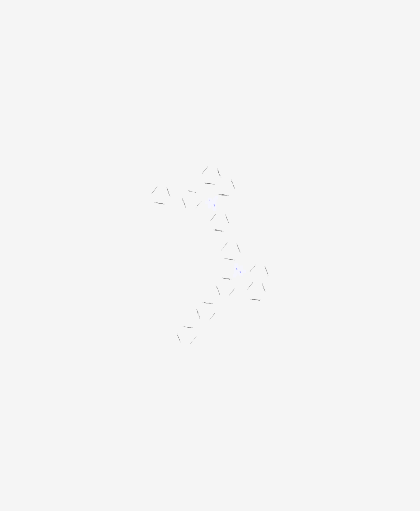 c1ccc(-c2ccc(-c3ccc(N(c4ccc(-c5ccc(N(c6ccc(-c7ccccc7)cc6)c6cccc7ccccc67)cc5)cc4)c4cccc5ccccc45)cc3)cc2)cc1